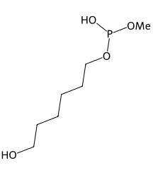 COP(O)OCCCCCCO